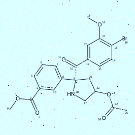 COC(=O)c1cccc([C@@]2(C(=O)c3ccc(Br)c(OC)c3)CC(OC(C)=O)CN2)c1